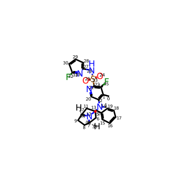 Cc1c(N(C)C2C[C@H]3CC[C@@H](C2)N3Cc2ccccc2)cnc(S(=O)(=O)Nc2cccc(F)n2)c1F